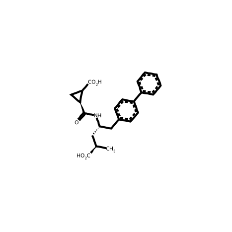 C[C@H](C[C@@H](Cc1ccc(-c2ccccc2)cc1)NC(=O)[C@H]1CC1C(=O)O)C(=O)O